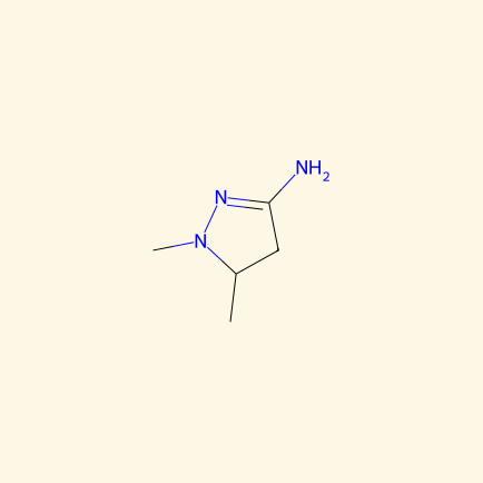 CC1CC(N)=NN1C